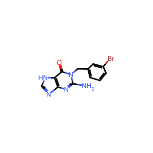 Nc1nc2nc[nH]c2c(=O)n1Cc1cccc(Br)c1